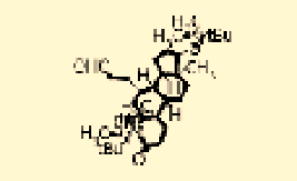 CC(C)(C)[Si](C)(C)O[C@H]1CC[C@H]2[C@@H]3[C@@H](CCC=O)C[C@H]4N([Si](C)(C)C(C)(C)C)C(=O)CC[C@]4(C)[C@H]3CC[C@]12C